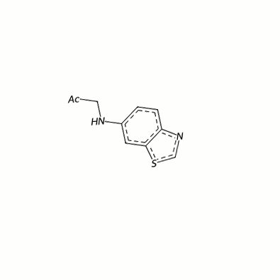 CC(=O)CNc1ccc2ncsc2c1